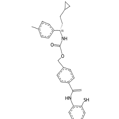 C=C(Nc1ccccc1S)c1ccc(COC(=O)N[C@@H](CCC2CC2)c2ccc(C)cc2)cc1